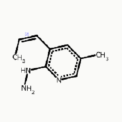 C/C=C\c1cc(C)cnc1NN